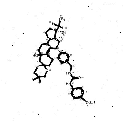 CC1(C)COC2(CCC3=C4C(CCC3(O)C2)C2CC[C@@](O)(C(F)(F)C(F)(F)F)[C@@]2(C)C[C@@H]4c2ccc(CNC(=O)Nc3ccc(C(=O)O)cc3)cc2)OC1